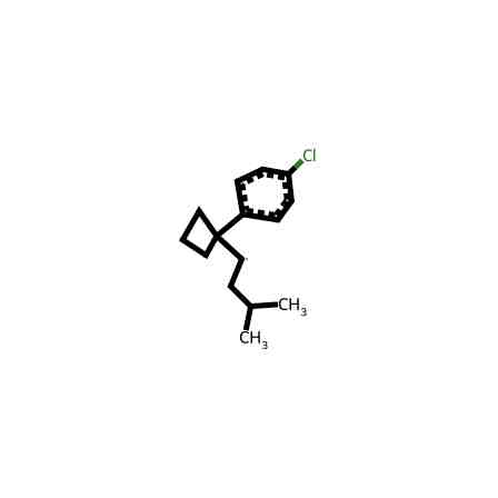 CC(C)C[CH]C1(c2ccc(Cl)cc2)CCC1